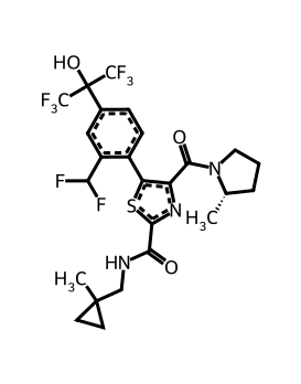 C[C@H]1CCCN1C(=O)c1nc(C(=O)NCC2(C)CC2)sc1-c1ccc(C(O)(C(F)(F)F)C(F)(F)F)cc1C(F)F